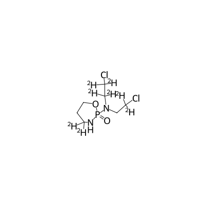 [2H]C([2H])(Cl)CN(C([2H])([2H])C([2H])([2H])Cl)P1(=O)NC([2H])([2H])CCO1